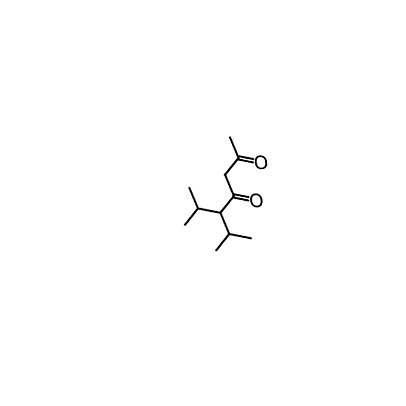 CC(=O)CC(=O)C(C(C)C)C(C)C